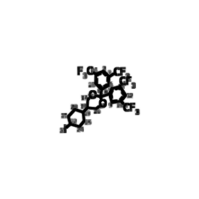 FC(F)(F)c1cc(C(F)(F)F)cc(C2(c3cc(C(F)(F)F)cc(C(F)(F)F)c3)OCC(C3CCC(I)CC3)CO2)c1